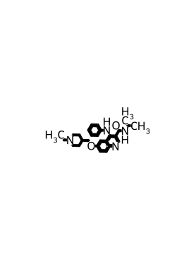 CCN1CCC(COc2ccc3ncc(C(=O)NC(C)C)c(Nc4ccccc4)c3c2)CC1